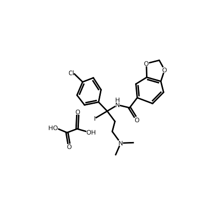 CN(C)CCC(I)(NC(=O)c1ccc2c(c1)OCO2)c1ccc(Cl)cc1.O=C(O)C(=O)O